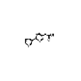 O=C(O)Cc1cnc(-c2cccnc2)nc1